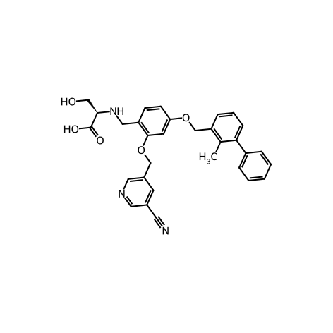 Cc1c(COc2ccc(CN[C@H](CO)C(=O)O)c(OCc3cncc(C#N)c3)c2)cccc1-c1ccccc1